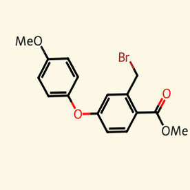 COC(=O)c1ccc(Oc2ccc(OC)cc2)cc1CBr